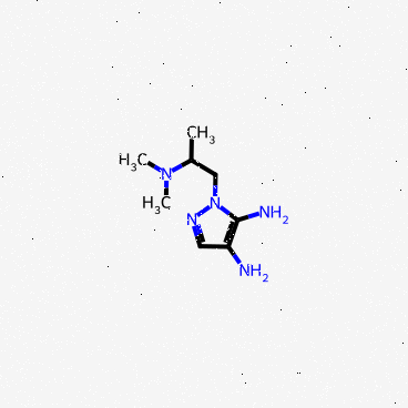 CC(Cn1ncc(N)c1N)N(C)C